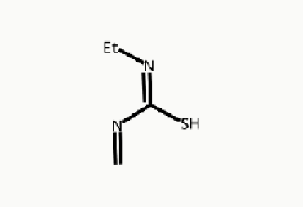 C=N/C(S)=N\CC